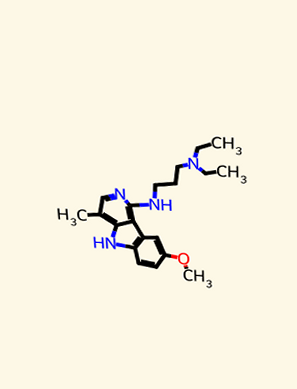 CCN(CC)CCCNc1ncc(C)c2[nH]c3ccc(OC)cc3c12